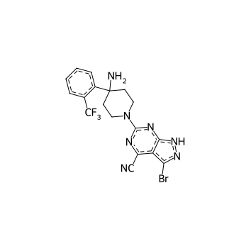 N#Cc1nc(N2CCC(N)(c3ccccc3C(F)(F)F)CC2)nc2[nH]nc(Br)c12